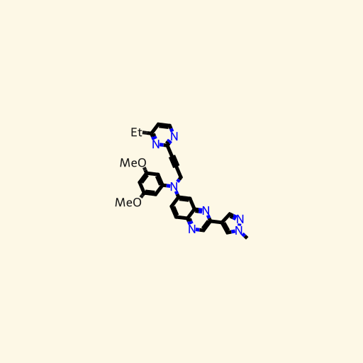 CCc1ccnc(C#CCN(c2cc(OC)cc(OC)c2)c2ccc3ncc(-c4cnn(C)c4)nc3c2)n1